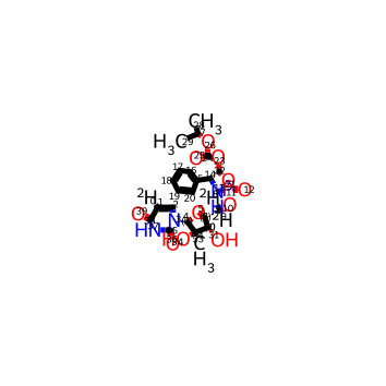 [2H]c1cn([C@@H]2O[C@H](C([2H])([2H])OP(=O)(NCc3ccccc3)OCOC(=O)OC(C)C)[C@@H](O)[C@@]2(C)O)c(=O)[nH]c1=O